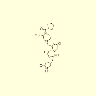 CCN1CC(CC(=O)Nc2cc(Cl)cc(CN3CCN(C(=O)C4CCCC4)C(C)C3)c2C)CC1=O